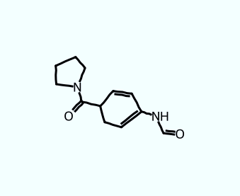 O=CNC1=CCC(C(=O)N2CCCC2)C=C1